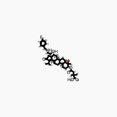 CC(C)C1=C2[C@H]3CCC4[C@@]5(C)CC[C@H](OC(=O)CC(C)(C)C(=O)O)C(C)(C)[C@@H]5CC[C@@]4(C)[C@]3(C)CC[C@@]2(C(O)CNCc2ccc(F)cc2)CC1=O